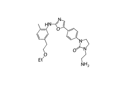 CCOCCc1ccc(C)c(Nc2ncc(-c3ccc(N4CCN(CCN)C4=O)cc3)o2)c1